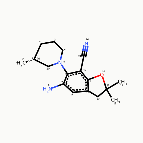 [CH2][C@@H]1CCCN(c2c(N)cc3c(c2C#N)OC(C)(C)C3)C1